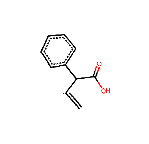 C=[C]C(C(=O)O)c1ccccc1